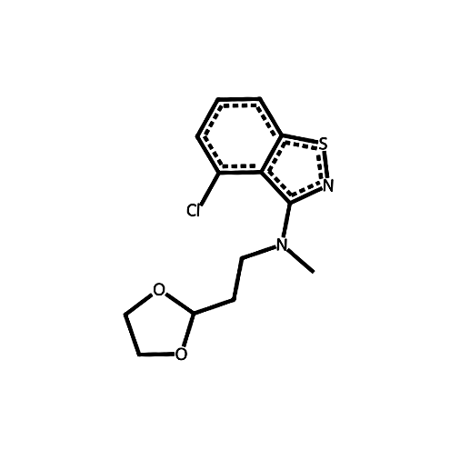 CN(CCC1OCCO1)c1nsc2cccc(Cl)c12